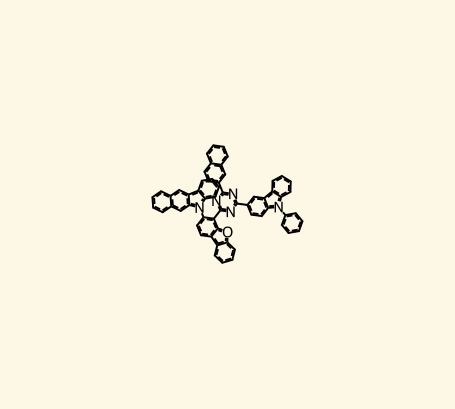 c1ccc(-n2c3ccccc3c3cc(-c4nc(-c5ccc6ccccc6c5)nc(-c5c(-n6c7ccccc7c7cc8ccccc8cc76)ccc6c5oc5ccccc56)n4)ccc32)cc1